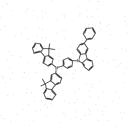 CC1(C)c2ccccc2-c2ccc(N(c3ccc(-n4c5ccccc5c5cc(-c6ccccc6)ccc54)cc3)c3ccc4c(c3)C(C)(C)c3ccccc3-4)cc21